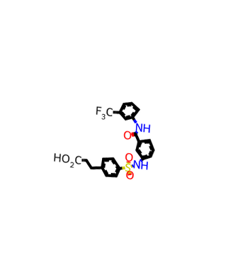 O=C(O)CCc1ccc(S(=O)(=O)Nc2cccc(C(=O)Nc3cccc(C(F)(F)F)c3)c2)cc1